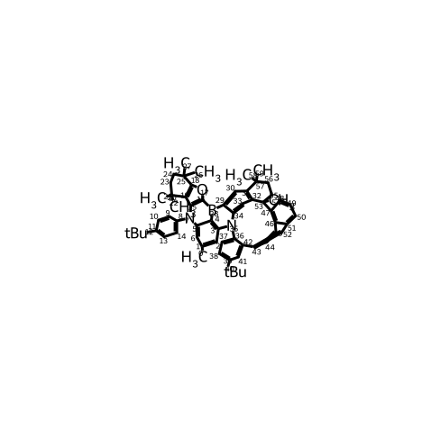 Cc1cc2c3c(c1)N(c1ccc(C(C)(C)C)cc1)c1c(oc4c1C(C)(C)CCC4(C)C)B3c1cc3c4cc1N2c1ccc(C(C)(C)C)cc1-c1ccc2c(cccc2c1)C4(C)CCC3(C)C